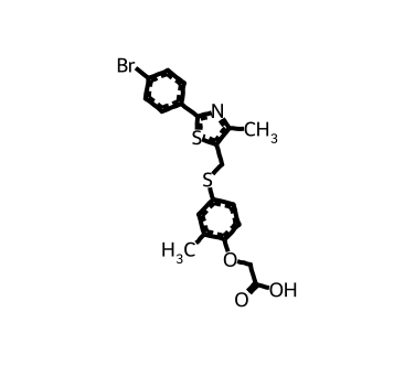 Cc1cc(SCc2sc(-c3ccc(Br)cc3)nc2C)ccc1OCC(=O)O